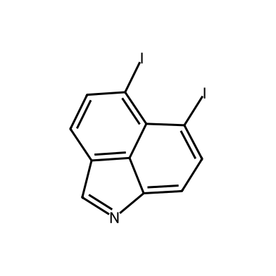 Ic1ccc2c3c(ccc(I)c13)N=C2